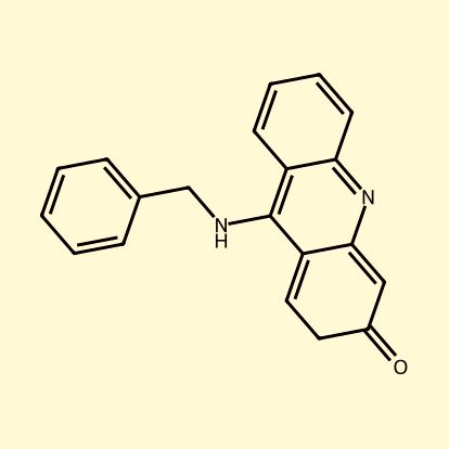 O=C1C=c2nc3ccccc3c(NCc3ccccc3)c2=CC1